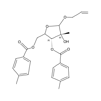 C=CCOC1OC(COC(=O)c2ccc(C)cc2)[C@@H](OC(=O)c2ccc(C)cc2)[C@@]1(C)O